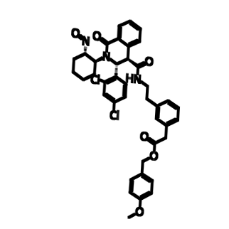 COc1ccc(COC(=O)Cc2cccc(CCNC(=O)[C@@H]3c4ccccc4C(=O)N([C@H]4CCCC[C@@H]4N=O)[C@H]3c3ccc(Cl)cc3Cl)c2)cc1